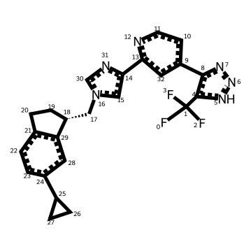 FC(F)(F)c1[nH]nnc1-c1ccnc(-c2cn(C[C@H]3CCc4ccc(C5CC5)cc43)cn2)c1